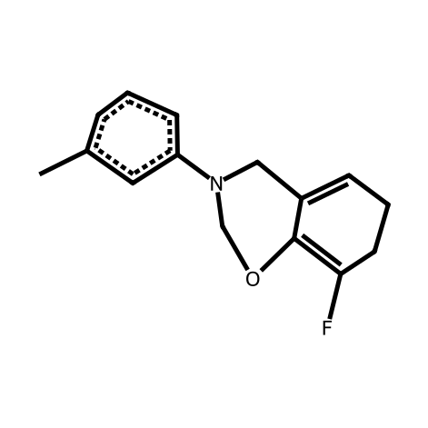 Cc1cccc(N2COC3=C(F)CCC=C3C2)c1